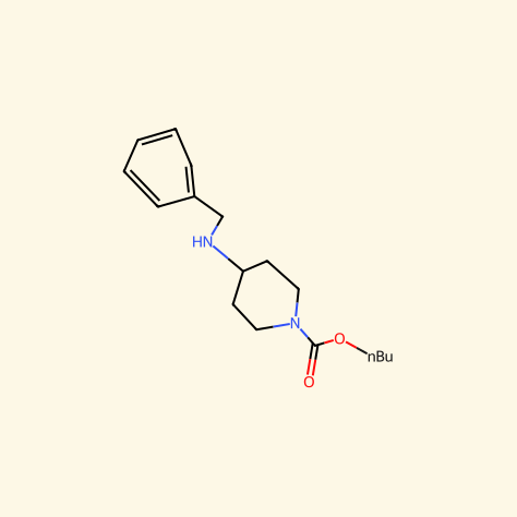 CCCCOC(=O)N1CCC(NCc2ccccc2)CC1